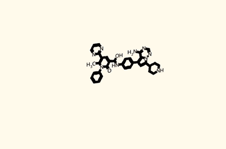 Cc1c(-c2ncccn2)cc(C(O)Nc2ccc(-c3cc(C4CCNCC4)n4ncnc(N)c34)cc2)c(=O)n1-c1ccccc1